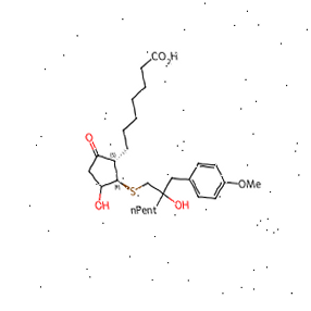 CCCCCC(O)(CS[C@H]1C(O)CC(=O)[C@@H]1CCCCCCC(=O)O)Cc1ccc(OC)cc1